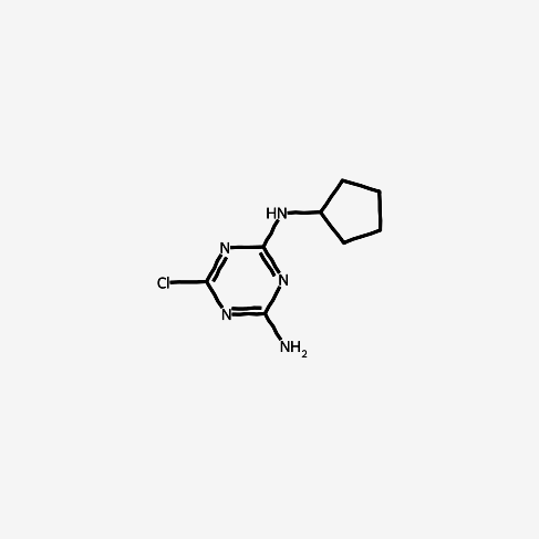 Nc1nc(Cl)nc(NC2CCCC2)n1